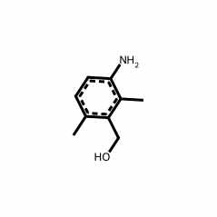 Cc1ccc(N)c(C)c1CO